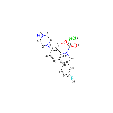 Cl.O=C1OCc2c(N3CCNCC3)cccc2N1Cc1cccc(F)c1